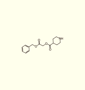 O=C(COC(=O)C1CCNCC1)OCc1ccccc1